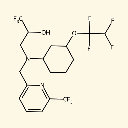 OC(CN(Cc1cccc(C(F)(F)F)n1)C1CCCC(OC(F)(F)C(F)F)C1)C(F)(F)F